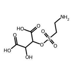 NCCS(=O)(=O)OC(C(=O)O)C(O)C(=O)O